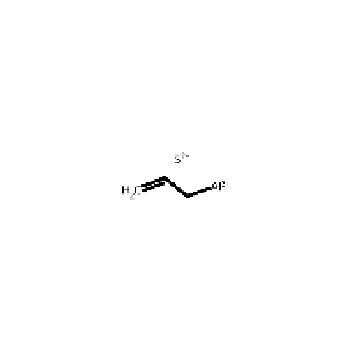 C=C[CH2][Al+2].[S-2]